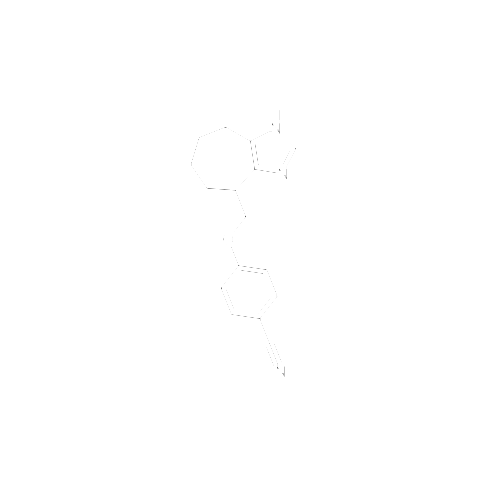 N#Cc1ccc(OCC2CCCCc3[nH]cnc32)cc1